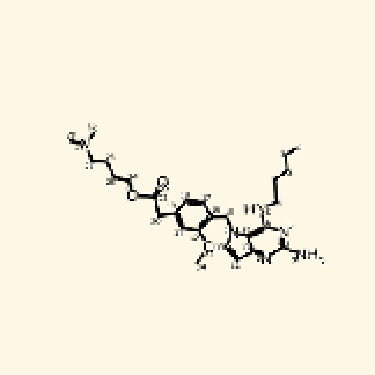 CCCCCNc1nc(N)nc2ccn(Cc3ccc(CC(=O)OCCCCN(C)C)cc3OC)c12